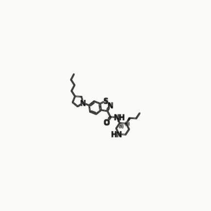 CCCCC1CCN(c2ccc3c(C(=O)N[C@@H]4CNCC[C@@H]4CCC)nsc3c2)C1